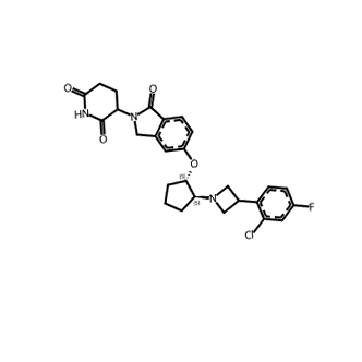 O=C1CCC(N2Cc3cc(O[C@H]4CCC[C@@H]4N4CC(c5ccc(F)cc5Cl)C4)ccc3C2=O)C(=O)N1